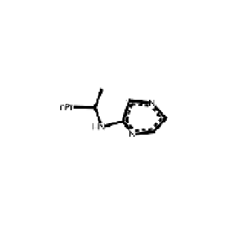 CCCC(C)Nc1[c]nccn1